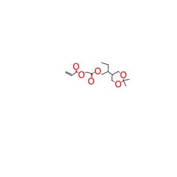 C=CC(=O)OCC(=O)OCC(CC)C1COC(C)(C)OC1